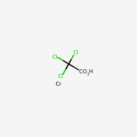 O=C(O)C(Cl)(Cl)Cl.[Cr]